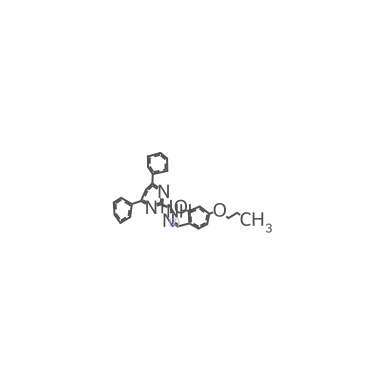 CCCOc1ccc(/C=N\Nc2nc(-c3ccccc3)cc(-c3ccccc3)n2)c(O)c1